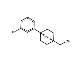 OCC12CCC(c3cccc(O)c3)(CC1)CO2